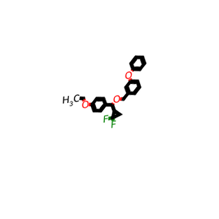 CCOc1ccc(C(OCc2cccc(Oc3ccccc3)c2)C2CC2(F)F)cc1